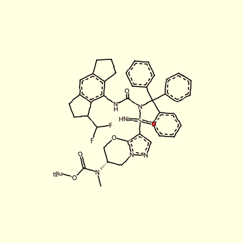 CN(C(=O)OC(C)(C)C)[C@@H]1COc2c(S(=N)(=O)N(C(=O)Nc3c4c(cc5c3C(C(F)F)CC5)CCC4)C(c3ccccc3)(c3ccccc3)c3ccccc3)cnn2C1